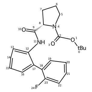 CC(C)(C)OC(=O)N1CCC[C@H]1C(=O)Nc1ccccc1-c1ccccc1F